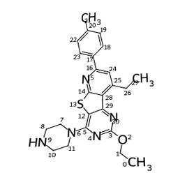 CCOc1nc(N2CCNCC2)c2sc3nc(-c4ccc(C)cc4)cc(CC)c3c2n1